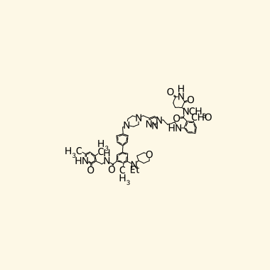 CCN(c1cc(-c2ccc(CN3CCN(Cc4cn(CCCNc5cccc(C=O)c5C(=O)N(C)C5CCC(=O)NC5=O)nn4)CC3)cc2)cc(C(=O)NCc2c(C)cc(C)[nH]c2=O)c1C)C1CCOCC1